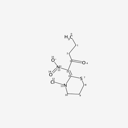 CCCC(=O)C(=C1SCCCN1Cl)[N+](=O)[O-]